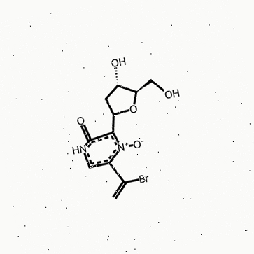 C=C(Br)c1c[nH]c(=O)c(C2C[C@H](O)[C@@H](CO)O2)[n+]1[O-]